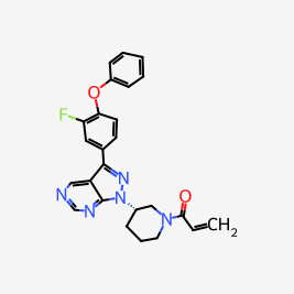 C=CC(=O)N1CCC[C@H](n2nc(-c3ccc(Oc4ccccc4)c(F)c3)c3cncnc32)C1